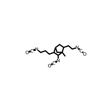 CC12CC(CC1CCN=C=O)C(CCCN=C=O)C2N=C=O